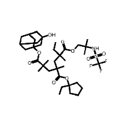 CCC1(OC(=O)C(C)(CC(C)(C)C(=O)OC23CC4CC(CC(O)(C4)C2)C3)CC(C)(CC)C(=O)OCC(C)(C)NS(=O)(=O)C(F)(F)F)CCCC1